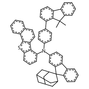 CC1(C)c2ccccc2-c2cccc(-c3ccc(N(c4ccc5c(c4)C4(c6ccccc6-5)C5CC6CC(C5)CC4C6)c4cccc5sc6c7ccccc7ccc6c45)cc3)c21